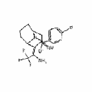 N=C1CC2CCCC(/C1=C(/N)C(F)(F)F)N2[S+]([O-])c1ccc(Cl)cc1